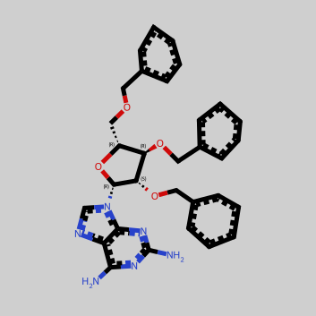 Nc1nc(N)c2ncn([C@@H]3O[C@H](COCc4ccccc4)[C@@H](OCc4ccccc4)[C@@H]3OCc3ccccc3)c2n1